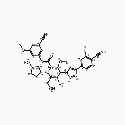 COc1cc(C#N)cc(N(C(=O)[C@@H]2O[C@H](CO)[C@H](O)[C@H](n3cc(-c4ccc(C#N)c(F)c4)nn3)[C@H]2OC)[C@@H]2CCC[C@H]2O)c1